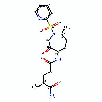 C[C@@H](C[CH]C(=O)N[C@H]1CC[C@H](C)N(S(=O)(=O)c2ccccn2)CC1=O)C(N)=O